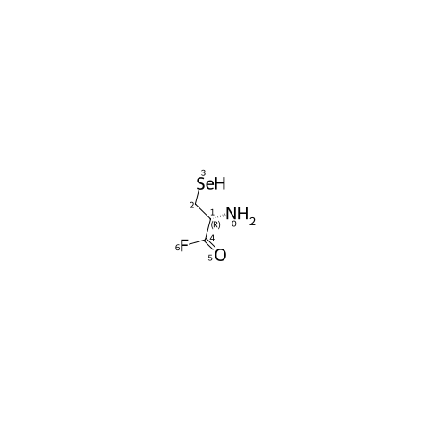 N[C@@H](C[SeH])C(=O)F